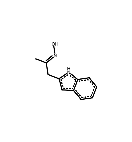 CC(Cc1cc2ccccc2[nH]1)=NO